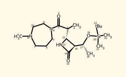 CC(C(=O)N1CCCN(C)CC1)[C@H]1NC(=O)[C@@H]1[C@@H](C)O[Si](C)(C)C(C)(C)C